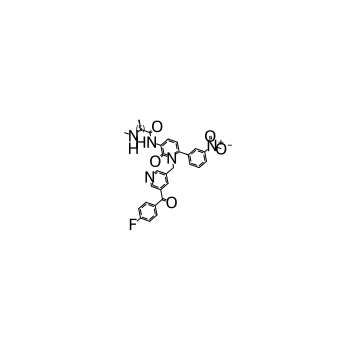 CN[C@@H](C)C(=O)Nc1ccc(-c2cccc([N+](=O)[O-])c2)n(Cc2cncc(C(=O)c3ccc(F)cc3)c2)c1=O